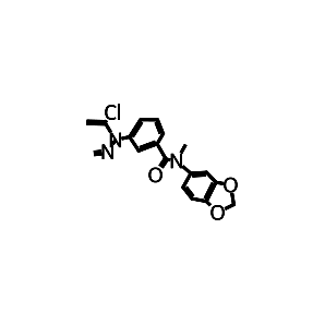 C=NN(C(=C)Cl)c1cccc(C(=O)N(C)c2ccc3c(c2)OCO3)c1